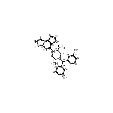 C[C@@H]1CN(c2nc3nncn3c3ccsc23)[C@@H](C)CN1C(c1cccc(F)c1)c1cccc(F)c1